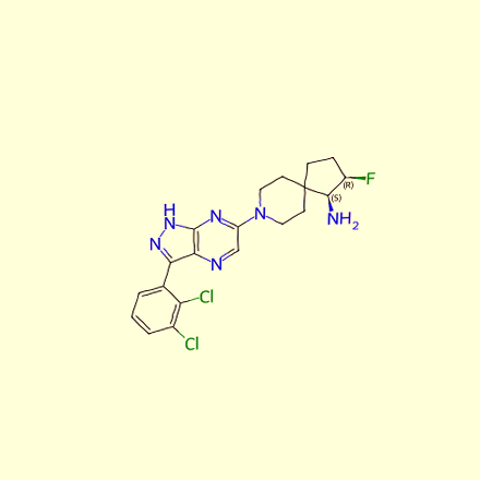 N[C@@H]1[C@H](F)CCC12CCN(c1cnc3c(-c4cccc(Cl)c4Cl)n[nH]c3n1)CC2